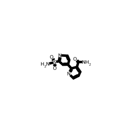 NC(=O)c1cccnc1-c1ccnc(S(N)(=O)=O)c1